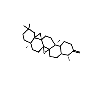 C=C1CCC2C(CCC34S[C@@]35CC[C@@]3(C)CCC(C)(C)C[C@]36C[C@]65CC[C@@]24C)[C@H]1C